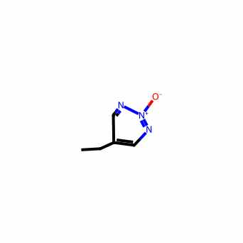 CCc1cn[n+]([O-])nc1